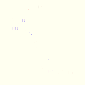 CC(C)OCCn1c(=S)[nH]c(=O)c2c1ccn2COC(=O)CCNC(=O)CNC(=O)OC(C)(C)C